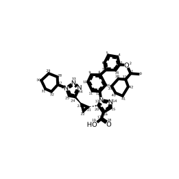 CC(Oc1cccc(-c2cccc(-n3ncc(C(=O)O)c3[C@@H]3C[C@H]3c3cn(C4CCCCC4)nn3)c2)c1)C1CCCCC1